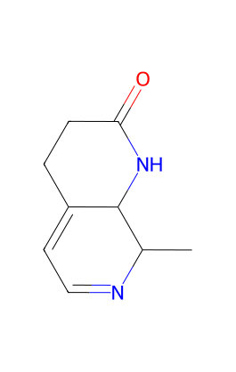 CC1N=CC=C2CCC(=O)NC21